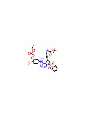 CCOC(=O)COc1cc(Nc2ncnc3c2c(C#CCN(C)C(=O)OC(C)(C)C)cn3S(=O)(=O)c2ccccc2)ccc1OC